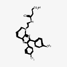 Cc1ccc(-c2nc3c(nc2-c2ccc(C)cc2)N(CCNC(=O)CCC(=O)O)CCC3)cc1